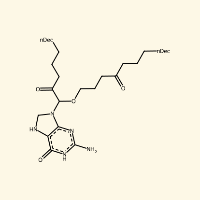 CCCCCCCCCCCCCC(=O)CCCOC(C(=O)CCCCCCCCCCCCC)N1CNc2c1nc(N)[nH]c2=O